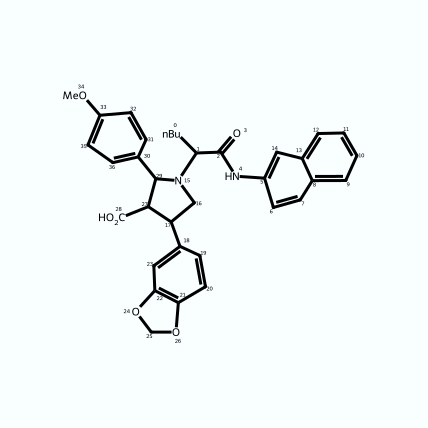 CCCCC(C(=O)Nc1ccc2ccccc2c1)N1CC(c2ccc3c(c2)OCO3)C(C(=O)O)C1c1ccc(OC)cc1